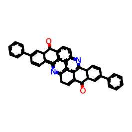 O=C1c2ccc3nc4c5c6c(nc(c2c36)=C2C=CC(c3ccccc3)=CC12)CC=C5C(=O)C1C=C(c2ccccc2)C=CC41